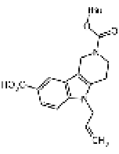 C=CCn1c2c(c3cc(C(=O)O)ccc31)CN(C(=O)OC(C)(C)C)CC2